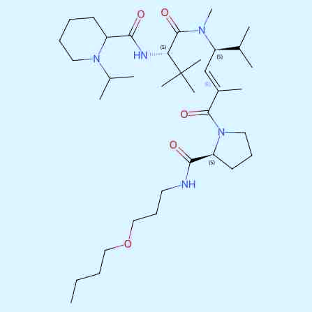 CCCCOCCCNC(=O)[C@@H]1CCCN1C(=O)/C(C)=C/[C@H](C(C)C)N(C)C(=O)[C@@H](NC(=O)C1CCCCN1C(C)C)C(C)(C)C